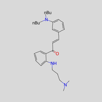 CCCCN(CCCC)c1cccc(C=CC(=O)c2ccccc2NCCCN(C)C)c1